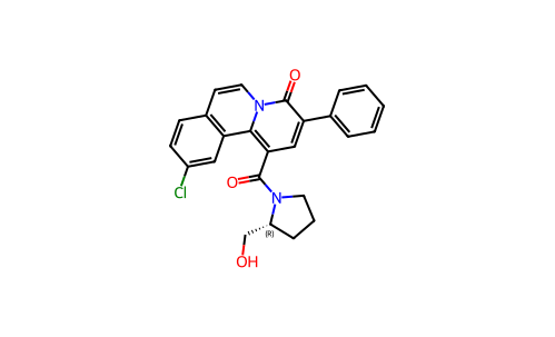 O=C(c1cc(-c2ccccc2)c(=O)n2ccc3ccc(Cl)cc3c12)N1CCC[C@@H]1CO